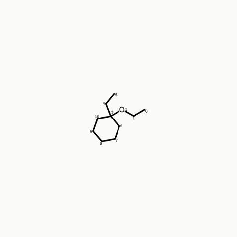 C[CH]OC1(CC)CCCCC1